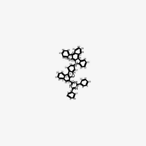 c1ccc(-c2nc(-c3ccccc3)nc(-c3cc4ccccc4c4c3oc3cc(-n5c6ccccc6c6c7ccccc7c7c8ccccc8sc7c65)ccc34)n2)cc1